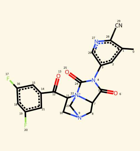 Cc1cc(N2C(=O)C3CN4CC(C(=O)c5cc(F)cc(F)c5)[N+]3(C4)C2=O)cnc1C#N